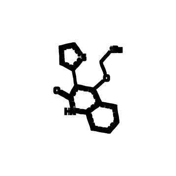 CC(C)(C)COc1c(-c2cccs2)c(=O)[nH]c2ccccc12